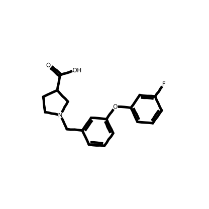 O=C(O)C1CCN(Cc2cccc(Oc3cccc(F)c3)c2)C1